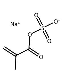 C=C(C)C(=O)OS(=O)(=O)[O-].[Na+]